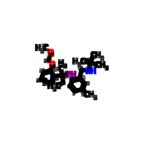 CCC(C)(Pc1ccc(C)cc1CNC(C)(C)C)c1ccccc1OCOC